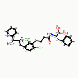 CC(Cc1ccc(Cl)c(CCCC(=O)N[C@@H](Cc2ccccc2)B(O)O)c1Cl)C(C#N)c1ccccn1